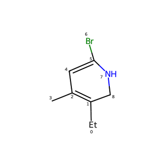 CCC1=C(C)C=C(Br)NC1